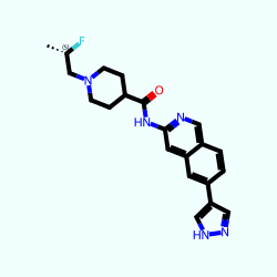 C[C@H](F)CN1CCC(C(=O)Nc2cc3cc(-c4cn[nH]c4)ccc3cn2)CC1